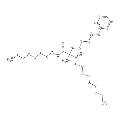 CCCCCCCCOC(=O)C(C)(CCCCOCc1ccccc1)C(=O)OCCCCCCCC